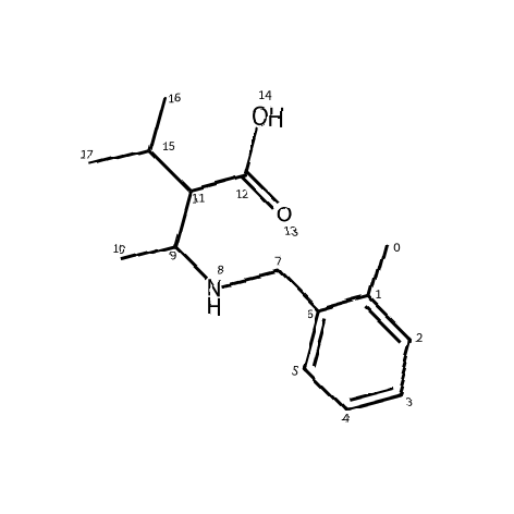 Cc1ccccc1CNC(C)C(C(=O)O)C(C)C